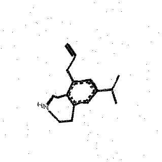 C=CCc1cc(C(C)C)cc2c1CNCC2